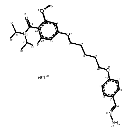 COc1cc(OCCCCCOc2ccc(C=NN)cc2)cc(C)c1C(=O)N(C(C)C)C(C)C.Cl